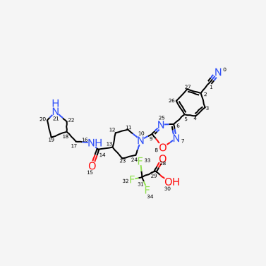 N#Cc1ccc(-c2noc(N3CCC(C(=O)NCC4CCNC4)CC3)n2)cc1.O=C(O)C(F)(F)F